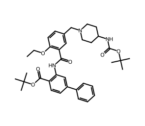 CCOc1ccc(CN2CCC(NC(=O)OC(C)(C)C)CC2)cc1C(=O)Nc1cc(-c2ccccc2)ccc1C(=O)OC(C)(C)C